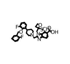 CSC1(Cn2c(CN3CCC(c4cccc(F)c4OCc4ccccc4F)CC3)nc3ccc(C(=O)O)cc32)CCO1